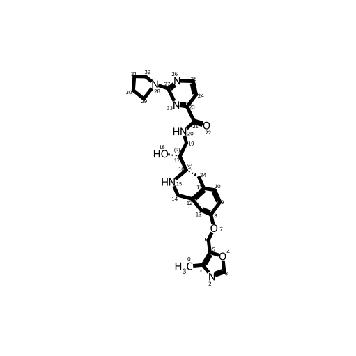 Cc1ncoc1COc1ccc2c(c1)CN[C@H]([C@H](O)CNC(=O)c1ccnc(N3CCCC3)n1)C2